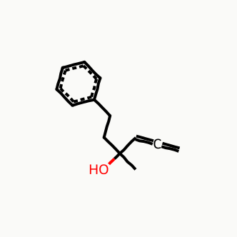 C=C=CC(C)(O)CCc1ccccc1